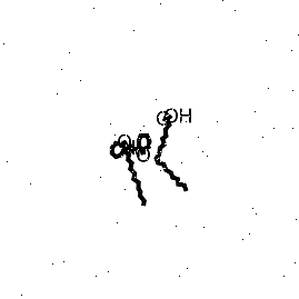 CCCCCCCC/C=C\CCCCCCCC(=O)O.CCCCCCCCCCCCC1(N=NC2CCCCCC2=O)CCCCCC1=O